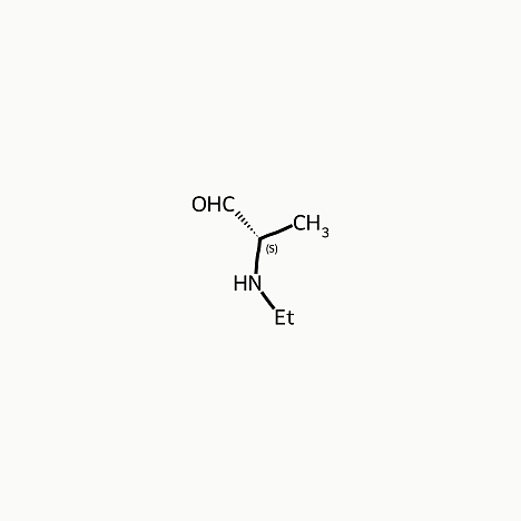 CCN[C@@H](C)C=O